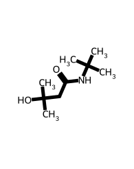 CC(C)(O)CC(=O)NC(C)(C)C